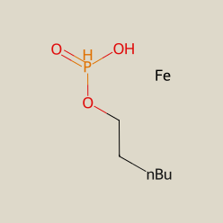 CCCCCCO[PH](=O)O.[Fe]